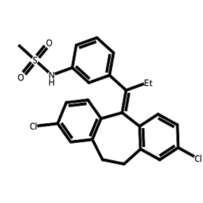 CCC(=C1c2ccc(Cl)cc2CCc2cc(Cl)ccc21)c1cccc(NS(C)(=O)=O)c1